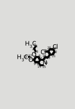 CCCCOc1cc2c(cc1OCC)CCN=C2C=Cc1ccc(Cl)cc1Cl